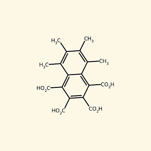 Cc1c(C)c(C)c2c(C(=O)O)c(C(=O)O)c(C(=O)O)c(C(=O)O)c2c1C